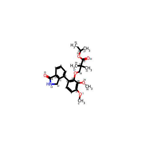 COc1ccc(-c2cccc3c2CNC3=O)c(OCC(C)(C)C(=O)OC(C)C)c1OC